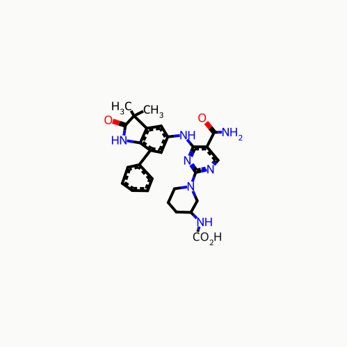 CC1(C)C(=O)Nc2c(-c3ccccc3)cc(Nc3nc(N4CCCC(NC(=O)O)C4)ncc3C(N)=O)cc21